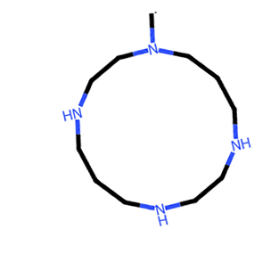 [CH2]N1CCCNCCNCCCNCC1